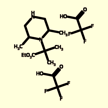 CCOC(=O)C(C)(C)N1C(C)CNCC1C.O=C(O)C(F)(F)F.O=C(O)C(F)(F)F